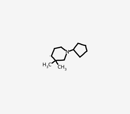 CC1(C)[CH]CCN(C2CCCC2)C1